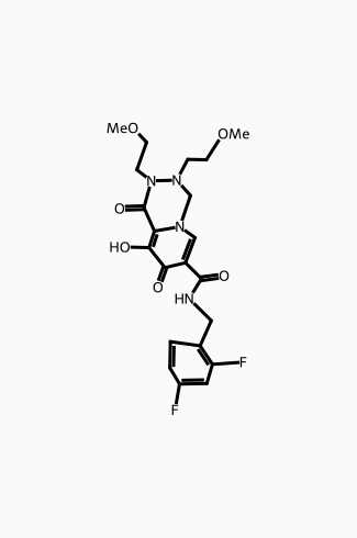 COCCN1Cn2cc(C(=O)NCc3ccc(F)cc3F)c(=O)c(O)c2C(=O)N1CCOC